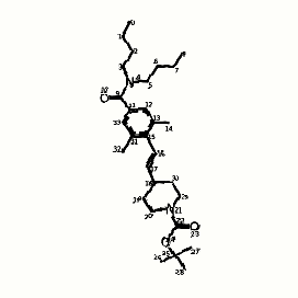 CCCCN(CCCC)C(=O)c1cc(C)c(/C=C/C2CCN(C(=O)OC(C)(C)C)CC2)c(C)c1